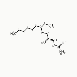 CCCCCCC(CC)CCC(=O)NCC(N)=O